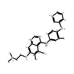 Cc1cc(Nc2ncnc3cc(OCCN(C)C)c(C)c(F)c23)ccc1Oc1cccnc1